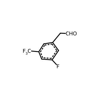 O=CCc1cc(F)cc(C(F)(F)F)c1